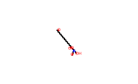 COCCN(CCO)CCOC(=O)CCCCCCC/C=C/CCCCCCCC(C)=O